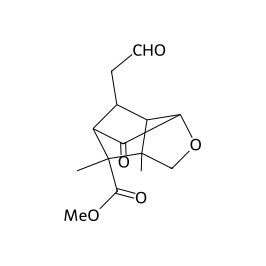 COC(=O)C1(C)C2C(=O)C3OCC1(C)C3C2CC=O